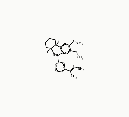 COc1cc2c(cc1OC)[C@H]1CCCC[C@H]1N=C2c1cccc(C(C)=NN)c1